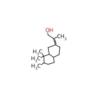 CC(CO)=C1CCC2CCC(C)C(C)(C)C2C1